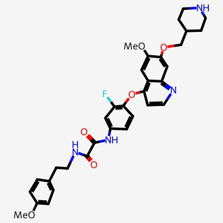 COc1ccc(CCNC(=O)C(=O)Nc2ccc(Oc3ccnc4cc(OCC5CCNCC5)c(OC)cc34)c(F)c2)cc1